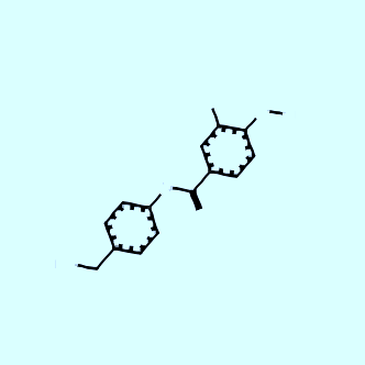 COc1ccc(C(=O)Nc2ccc(CO)cc2)cc1Br